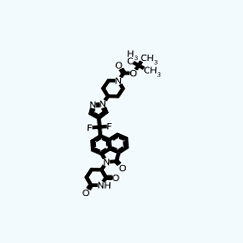 CC(C)(C)OC(=O)N1CCC(n2cc(C(F)(F)c3ccc4c5c(cccc35)C(=O)N4C3CCC(=O)NC3=O)cn2)CC1